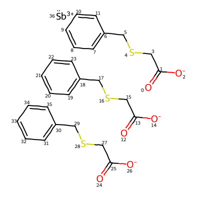 O=C([O-])CSCc1ccccc1.O=C([O-])CSCc1ccccc1.O=C([O-])CSCc1ccccc1.[Sb+3]